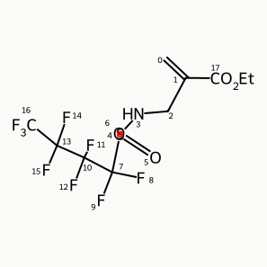 C=C(CNS(=O)(=O)C(F)(F)C(F)(F)C(F)(F)C(F)(F)F)C(=O)OCC